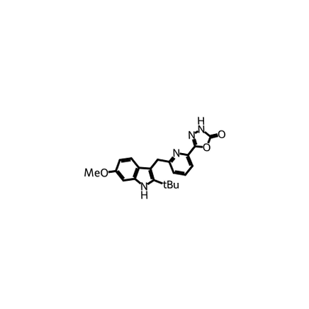 COc1ccc2c(Cc3cccc(-c4n[nH]c(=O)o4)n3)c(C(C)(C)C)[nH]c2c1